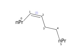 [CH2]CC/C=C\CCCCC